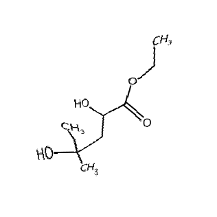 CCOC(=O)C(O)CC(C)(C)O